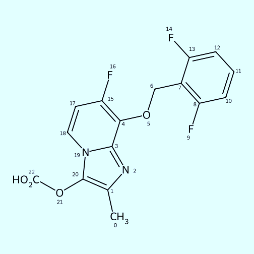 Cc1nc2c(OCc3c(F)cccc3F)c(F)ccn2c1OC(=O)O